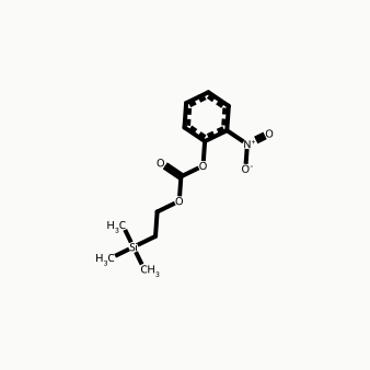 C[Si](C)(C)CCOC(=O)Oc1ccccc1[N+](=O)[O-]